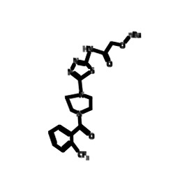 CCCCOCC(=O)Nc1nnc(N2CCN(C(=O)c3ccccc3C(F)(F)F)CC2)s1